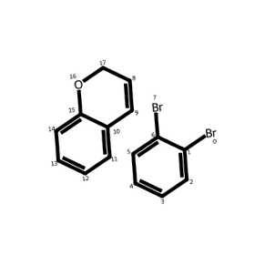 Brc1ccccc1Br.C1=Cc2ccccc2OC1